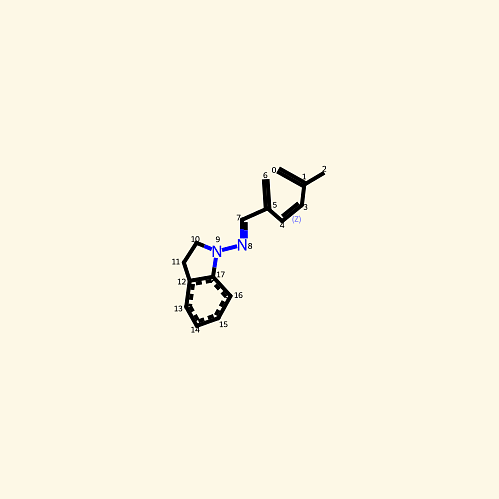 C=C(C)/C=C\C(=C)C=NN1CCc2ccccc21